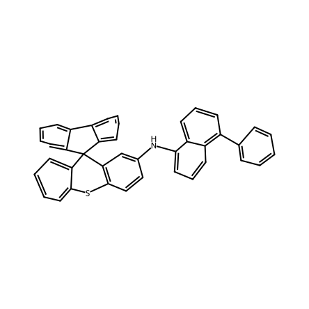 c1ccc(-c2cccc3c(Nc4ccc5c(c4)C4(c6ccccc6S5)c5ccccc5-c5ccccc54)cccc23)cc1